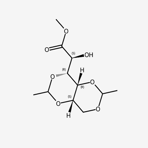 COC(=O)[C@@H](O)[C@H]1OC(C)O[C@H]2COC(C)O[C@@H]12